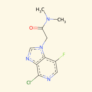 CN(C)C(=O)Cn1cnc2c(Cl)ncc(F)c21